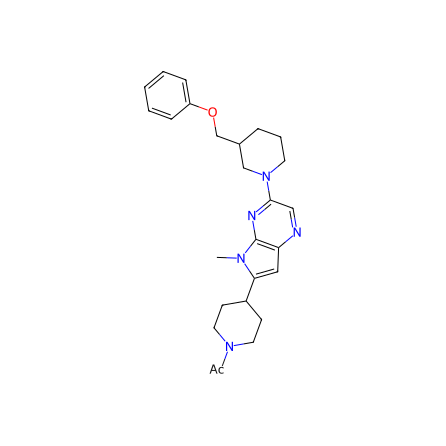 CC(=O)N1CCC(c2cc3ncc(N4CCCC(COc5ccccc5)C4)nc3n2C)CC1